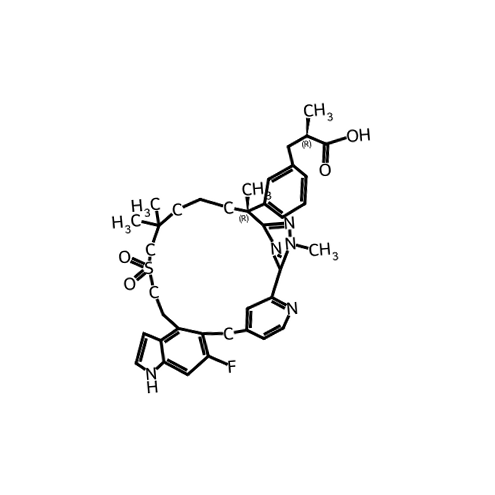 C[C@H](Cc1cccc([C@@]2(C)CCCC(C)(C)CS(=O)(=O)CCc3c(c(F)cc4[nH]ccc34)Cc3ccnc(c3)-c3nc2nn3C)c1)C(=O)O